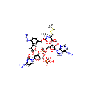 CN(C(=O)OCc1ccc(N=[N+]=[N-])cc1)C(CSSC(C)(C)C)C(=O)O[C@H]1[C@@H](O)[C@H](n2cnc3c(N)ncnc32)O[C@@H]1COP(=O)(O)O[C@H]1[C@@H](OC2CCCO2)[C@H](n2ccc(N)nc2=O)O[C@@H]1COP(=O)(O)O